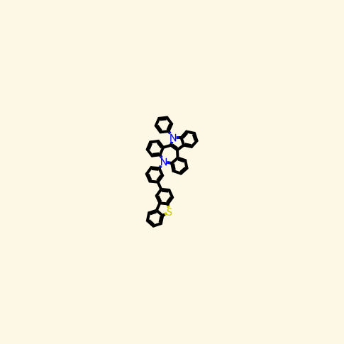 c1ccc(-n2c3c(c4ccccc42)-c2ccccc2N(c2cccc(-c4ccc5sc6ccccc6c5c4)c2)c2ccccc2-3)cc1